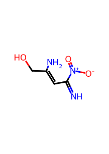 N=C(/C=C(\N)CO)[N+](=O)[O-]